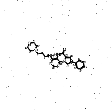 O=C1Nc2c(NCCCN3CCOCC3)ncnc2N2CN(c3ccccc3)C=C12